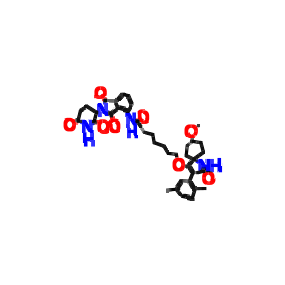 COC1CCC2(CC1)NC(=O)C(c1cc(C)ccc1C)=C2OCCCCCCC(=O)Nc1cccc2c1C(=O)N(C1CCC(=O)NC1=O)C2=O